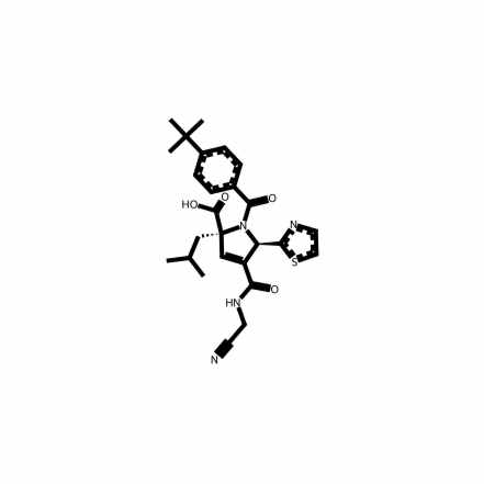 CC(C)C[C@@]1(C(=O)O)C=C(C(=O)NCC#N)[C@H](c2nccs2)N1C(=O)c1ccc(C(C)(C)C)cc1